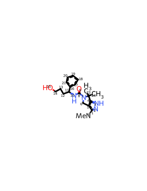 CNc1n[nH]c2c1CN(C(=O)NC(CCCO)c1ccccc1)C2(C)C